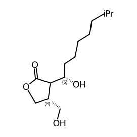 CC(C)CCCCC[C@H](O)C1C(=O)OC[C@H]1CO